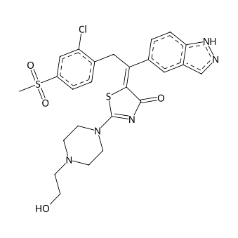 CS(=O)(=O)c1ccc(CC(=C2SC(N3CCN(CCO)CC3)=NC2=O)c2ccc3[nH]ncc3c2)c(Cl)c1